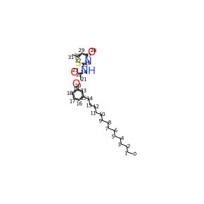 CCCCCCCCCCCCCCCc1cccc(OCC(=O)Nc2nc(=O)cc(C)s2)c1